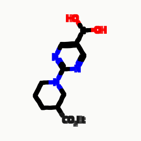 CCOC(=O)C1CCCN(c2ncc(B(O)O)cn2)C1